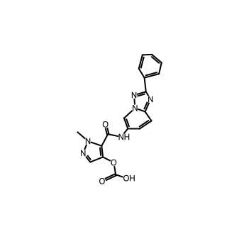 Cn1ncc(OC(=O)O)c1C(=O)Nc1ccc2nc(-c3ccccc3)nn2c1